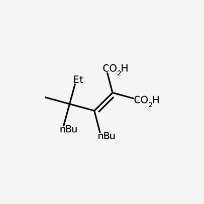 CCCCC(=C(C(=O)O)C(=O)O)C(C)(CC)CCCC